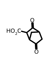 O=C1CC2CC1C(C(=O)O)C2=O